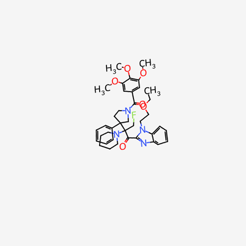 CCOCCn1c(C(=O)C(CF)(N2CCCCC2)C2(c3ccccc3)CCN(C(=O)c3cc(OC)c(OC)c(OC)c3)C2)nc2ccccc21